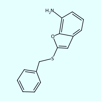 Nc1cccc2cc(SCc3ccccc3)oc12